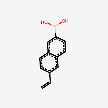 C=Cc1ccc2cc(B(O)O)ccc2c1